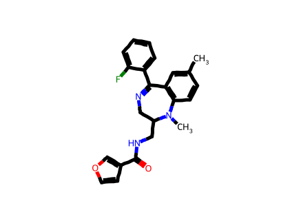 Cc1ccc2c(c1)C(c1ccccc1F)=NCC(CNC(=O)c1ccoc1)N2C